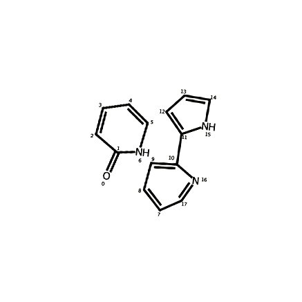 O=c1cccc[nH]1.c1ccc(-c2ccc[nH]2)nc1